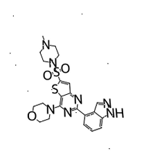 CN1CCN(S(=O)(=O)c2cc3nc(-c4cccc5[nH]ncc45)nc(N4CCOCC4)c3s2)CC1